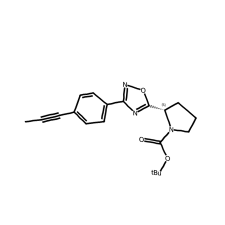 CC#Cc1ccc(-c2noc([C@@H]3CCCN3C(=O)OC(C)(C)C)n2)cc1